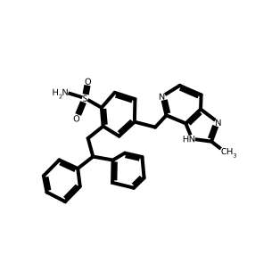 Cc1nc2ccnc(Cc3ccc(S(N)(=O)=O)c(CC(c4ccccc4)c4ccccc4)c3)c2[nH]1